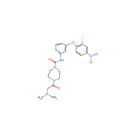 CN(C)CC(=O)N1CCN(C(=O)Nc2cc(Oc3ccc([N+](=O)[O-])cc3F)ccn2)CC1